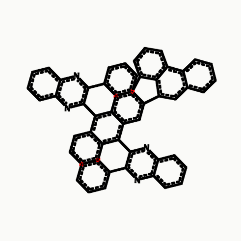 c1ccc(-c2nc3ccccc3nc2-c2c3ccccc3c(-c3nc4ccccc4nc3-c3ccccc3)c3cc4c(cc23)-c2cccc3c2c-4cc2ccccc23)cc1